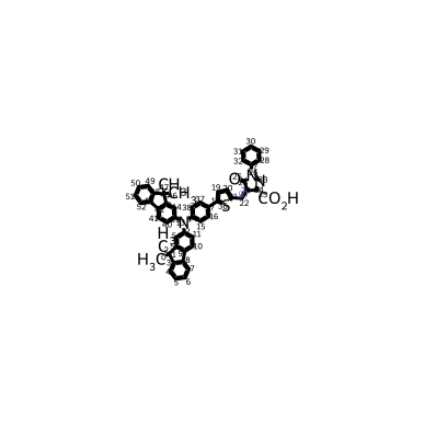 CC1(C)c2ccccc2-c2ccc(N(c3ccc(-c4ccc(/C=C5\C(=O)N(c6ccccc6)N=C5C(=O)O)s4)cc3)c3ccc4c(c3)C(C)(C)c3ccccc3-4)cc21